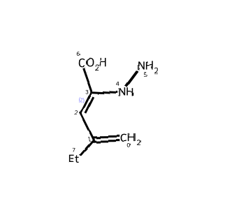 C=C(/C=C(\NN)C(=O)O)CC